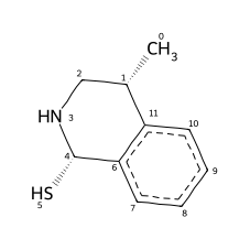 C[C@H]1CN[C@@H](S)c2ccccc21